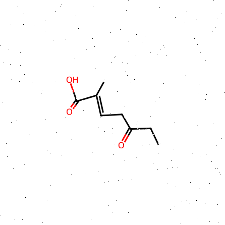 CCC(=O)C/C=C(\C)C(=O)O